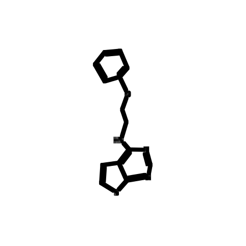 c1ccc(OCCNc2ncnc3sccc23)cc1